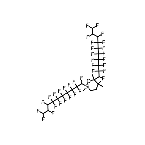 CC1(C)CC[Si](C)(C(F)C(F)(F)C(F)(F)C(F)(F)C(F)(F)C(F)(F)C(F)(F)C(F)C(F)C(F)F)OC1(C)C(F)C(F)(F)C(F)(F)C(F)(F)C(F)(F)C(F)(F)C(F)(F)C(F)C(F)C(F)F